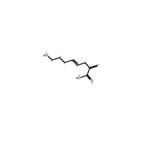 C=C(CC=CCCCO)C(=O)O